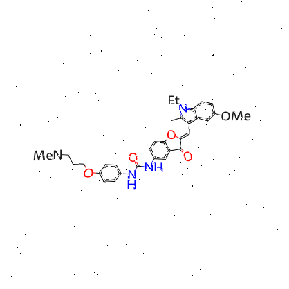 CCn1c(C)c(/C=C2\Oc3ccc(NC(=O)Nc4ccc(OCCCNC)cc4)cc3C2=O)c2cc(OC)ccc21